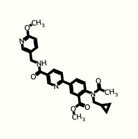 COC(=O)c1cc(-c2ccc(C(=O)NCc3ccc(OC)nc3)cn2)ccc1N(CC1CC1)C(C)=O